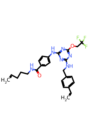 C=CCCCNC(=O)c1ccc(Nc2nc(NCc3ccc(C=C)cc3)nc(OCC(F)(F)F)n2)cc1